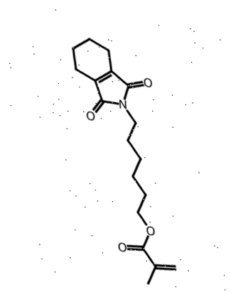 C=C(C)C(=O)OCCCCCCN1C(=O)C2=C(CCCC2)C1=O